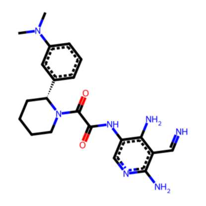 CN(C)c1cccc([C@H]2CCCCN2C(=O)C(=O)Nc2cnc(N)c(C=N)c2N)c1